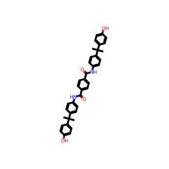 CC(C)(c1ccc(O)cc1)c1ccc(NC(=O)c2ccc(C(=O)Nc3ccc(C(C)(C)c4ccc(O)cc4)cc3)cc2)cc1